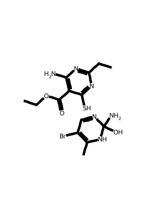 CC1=C(Br)C=NC(N)(O)N1.CCOC(=O)c1c(N)nc(CC)nc1S